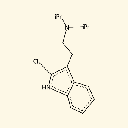 CC(C)N(CCc1c(Cl)[nH]c2ccccc12)C(C)C